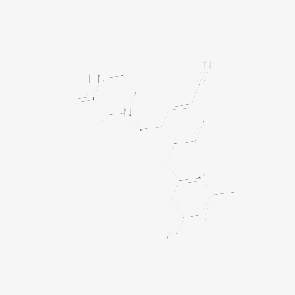 Cc1cc(Cl)cc(Sc2ccc(C#N)cc2CN2CCNC(=O)C2)c1